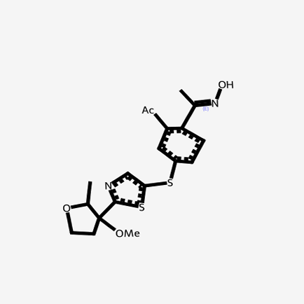 COC1(c2ncc(Sc3ccc(/C(C)=N/O)c(C(C)=O)c3)s2)CCOC1C